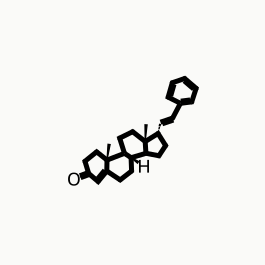 C[C@]12CCC(=O)C=C1CC[C@@H]1C2CC[C@@]2(C)C1CC[C@H]2/C=C/c1ccccc1